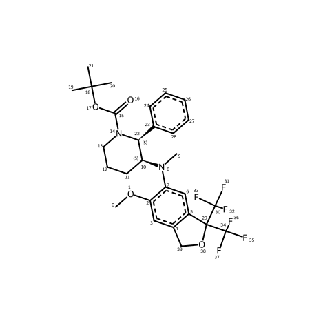 COc1cc2c(cc1N(C)[C@H]1CCCN(C(=O)OC(C)(C)C)[C@H]1c1ccccc1)C(C(F)(F)F)(C(F)(F)F)OC2